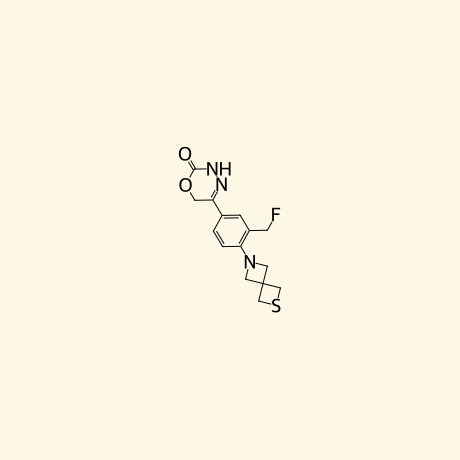 O=C1NN=C(c2ccc(N3CC4(CSC4)C3)c(CF)c2)CO1